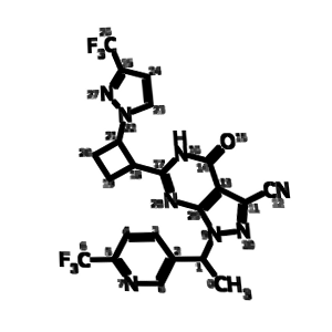 CC(c1ccc(C(F)(F)F)nc1)n1nc(C#N)c2c(=O)[nH]c(C3CCC3n3ccc(C(F)(F)F)n3)nc21